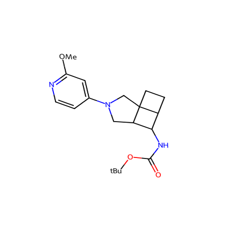 COc1cc(N2CC3C(NC(=O)OC(C)(C)C)C4CCC43C2)ccn1